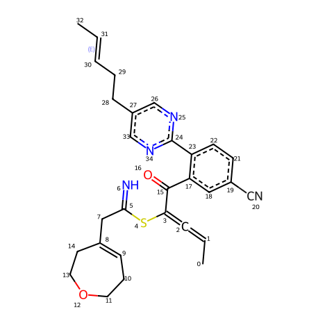 CC=C=C(SC(=N)CC1=CCCOCC1)C(=O)c1cc(C#N)ccc1-c1ncc(CC/C=C/C)cn1